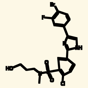 CN(CCCO)S(=O)(=O)c1cc(-c2nc(-c3ccc(Br)c(F)c3)c[nH]2)ccc1Cl